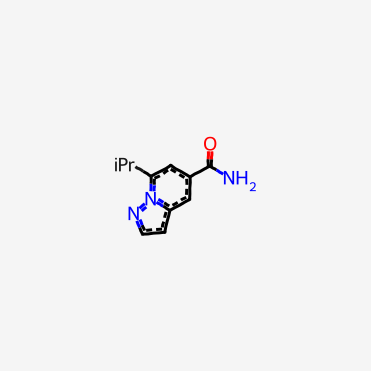 CC(C)c1cc(C(N)=O)cc2ccnn12